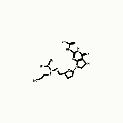 CC(C)C(=O)Nc1nc2c(c(=O)[nH]1)NCN2[C@H]1CCC(COP(OCCC#N)N(C(C)C)C(C)C)O1